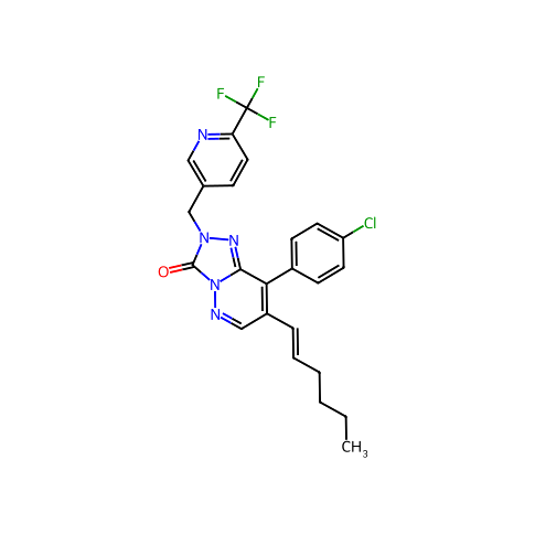 CCCC/C=C/c1cnn2c(=O)n(Cc3ccc(C(F)(F)F)nc3)nc2c1-c1ccc(Cl)cc1